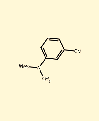 CSN(C)c1cccc(C#N)c1